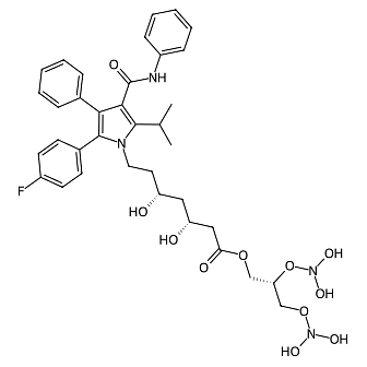 CC(C)c1c(C(=O)Nc2ccccc2)c(-c2ccccc2)c(-c2ccc(F)cc2)n1CC[C@@H](O)C[C@@H](O)CC(=O)OC[C@@H](CON(O)O)ON(O)O